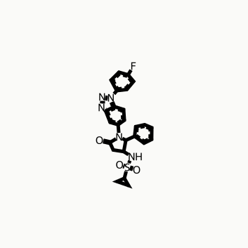 O=C1CC(NS(=O)(=O)C2CC2)C(c2ccccc2)N1c1ccc2c(c1)nnn2-c1ccc(F)cc1